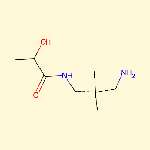 CC(O)C(=O)NCC(C)(C)CN